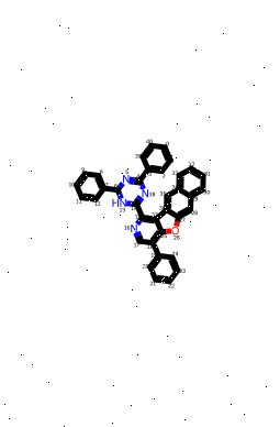 c1ccc(C2=NC(c3ccccc3)NC(c3ncc(-c4ccccc4)c4oc5cc6ccccc6cc5c34)=N2)cc1